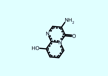 Nc1cnc2c(O)cccn2c1=O